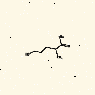 CC(CCCO)C(=O)C(C)(C)C